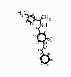 Cc1cnc(C(C)NCc2ccc(OCc3ccccc3)c(Cl)c2)s1